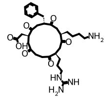 N=C(N)NCCC[C@@H]1CC(=O)[C@H](CCCCN)CC(=O)[C@@H](Cc2ccccc2)CC(=O)[C@H](CC(=O)O)CC(=O)CCC1=O